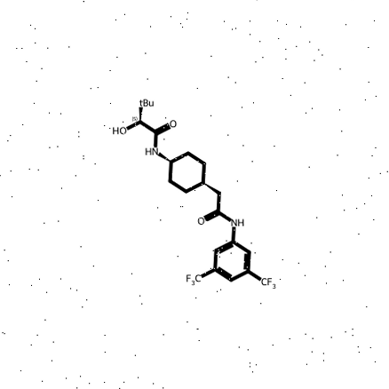 CC(C)(C)[C@H](O)C(=O)N[C@H]1CC[C@@H](CC(=O)Nc2cc(C(F)(F)F)cc(C(F)(F)F)c2)CC1